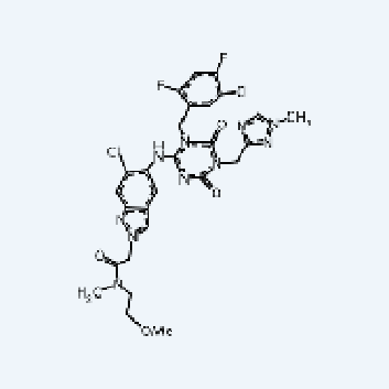 COCCN(C)C(=O)Cn1cc2cc(Nc3nc(=O)n(Cc4ncn(C)n4)c(=O)n3Cc3cc(Cl)c(F)cc3F)c(Cl)cc2n1